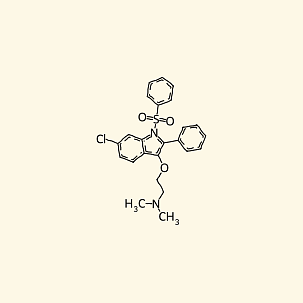 CN(C)CCOc1c(-c2ccccc2)n(S(=O)(=O)c2ccccc2)c2cc(Cl)ccc12